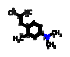 [C-]#[N+]C(=Cc1ccc(N(C)C)cc1C)[N+]#[C-]